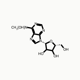 CN(O)c1ncnc2c1ncn2[C@@H]1O[C@H](CO)C(O)C1O